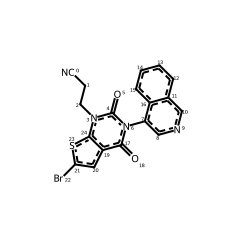 N#CCCn1c(=O)n(-c2cncc3ccccc23)c(=O)c2cc(Br)sc21